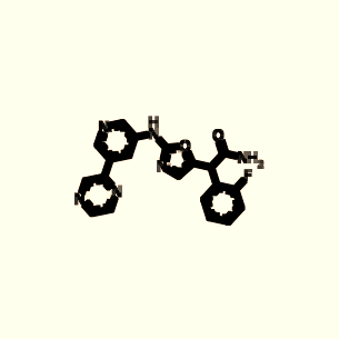 NC(=O)C(c1cnc(Nc2cncc(-c3cnccn3)c2)o1)c1ccccc1F